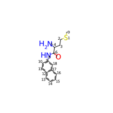 CSCCC(N)C(=O)Nc1ccc2ccccc2c1